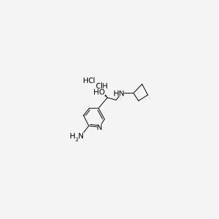 Cl.Cl.Nc1ccc([C@@H](O)CNC2CCC2)cn1